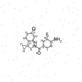 Nc1ccc(C(=O)NCC2(c3ccc(Cl)cc3)CC2)cc1F